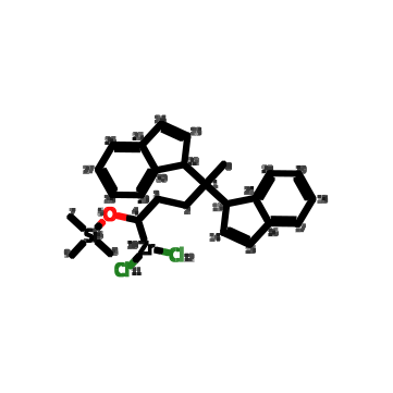 CC(CC[CH](O[Si](C)(C)C)[Zr]([Cl])[Cl])(C1C=Cc2ccccc21)C1C=Cc2ccccc21